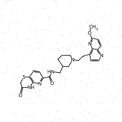 COc1ccc2nccc(CCN3CCCC(CNC(=O)c4ccc5c(n4)NC(=O)CS5)C3)c2n1